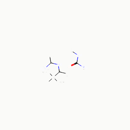 CCC(NC(C)N)[Si](C)(OC)OC.NC(=O)N[SiH3]